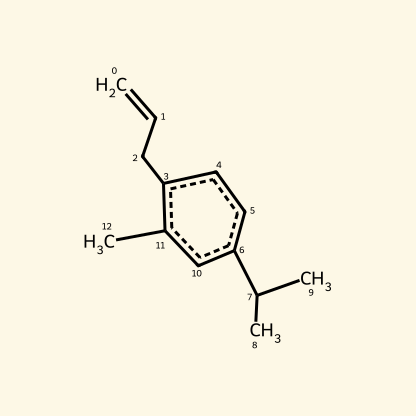 C=CCc1ccc(C(C)C)cc1C